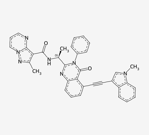 Cc1nn2cccnc2c1C(=O)N[C@@H](C)c1nc2cccc(C#Cc3cn(C)c4ccccc34)c2c(=O)n1-c1ccccc1